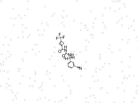 [2H]C([2H])(NC(=O)NC(=O)C12CC(C(F)(F)F)(C1)C2)c1cccc(C#N)c1